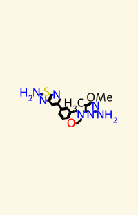 COc1nc(N)nc(N2CCOc3ccc(-c4cnc5sc(N)nc5c4)cc3C2)c1C